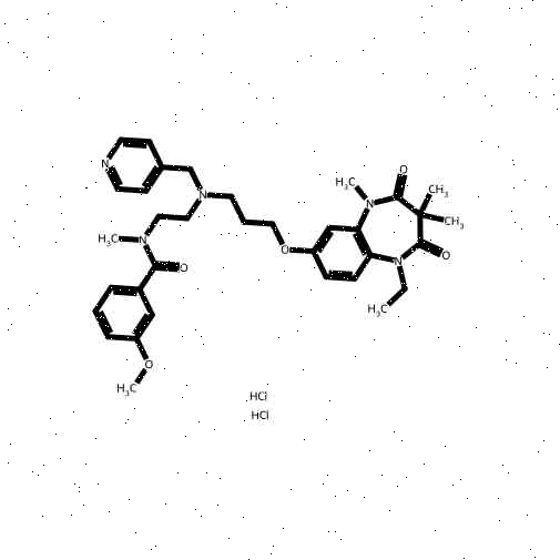 CCN1C(=O)C(C)(C)C(=O)N(C)c2cc(OCCCN(CCN(C)C(=O)c3cccc(OC)c3)Cc3ccncc3)ccc21.Cl.Cl